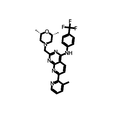 Cc1cccnc1-c1ccc2c(Nc3ccc(C(F)(F)F)cc3)nc(CN3C[C@@H](C)O[C@@H](C)C3)nc2n1